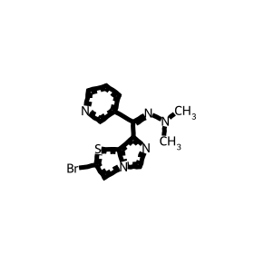 CN(C)/N=C(/c1cccnc1)c1ncn2cc(Br)sc12